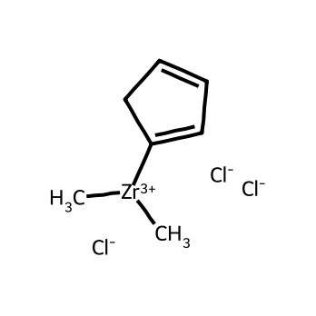 [CH3][Zr+3]([CH3])[C]1=CC=CC1.[Cl-].[Cl-].[Cl-]